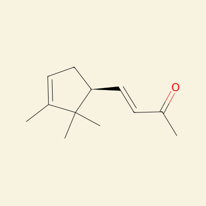 CC(=O)/C=C/[C@@H]1CC=C(C)C1(C)C